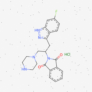 Cl.O=C1c2ccccc2C(=O)N1C(Cc1n[nH]c2cc(F)ccc12)CN1CCNCC1